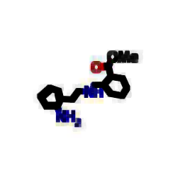 COC(=O)C1CCCCC1CNCCc1ccccc1N